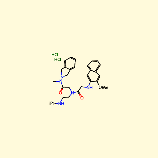 COc1cc2ccccc2cc1NCC(=O)N(CCNC(C)C)CC(=O)N(C)N1Cc2ccccc2C1.Cl.Cl